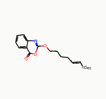 CCCCCCCCCC/C=C/CCCCOc1nc2ccccc2c(=O)o1